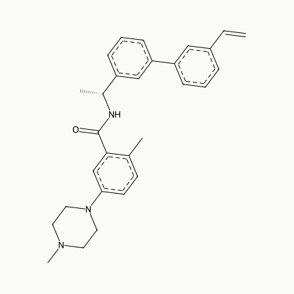 C=Cc1cccc(-c2cccc([C@@H](C)NC(=O)c3cc(N4CCN(C)CC4)ccc3C)c2)c1